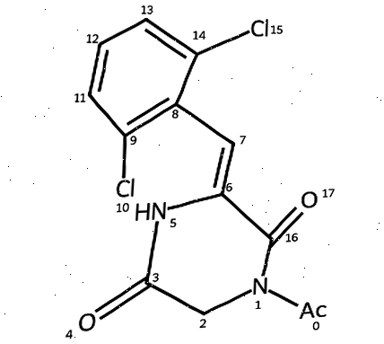 CC(=O)N1CC(=O)NC(=Cc2c(Cl)cccc2Cl)C1=O